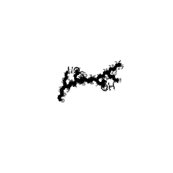 CCCCC(CCCC)CCCC(CCCCC(CCCC(CCCC)CCCC)CC(O)=S)CC(O)=S